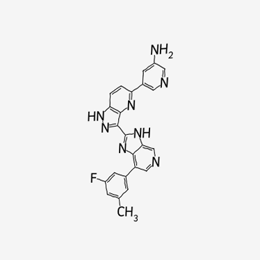 Cc1cc(F)cc(-c2cncc3[nH]c(-c4n[nH]c5ccc(-c6cncc(N)c6)nc45)nc23)c1